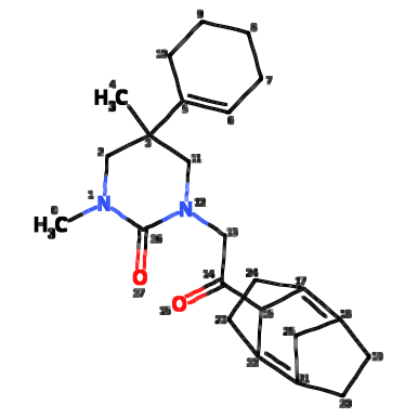 CN1CC(C)(C2=CCCCC2)CN(CC(=O)C2C3=C4CCC(=C2CC3)C4)C1=O